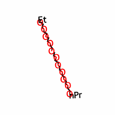 CCCOCCOCCOCCOCCOCCOCCOCCOCCOCCOCCOCC